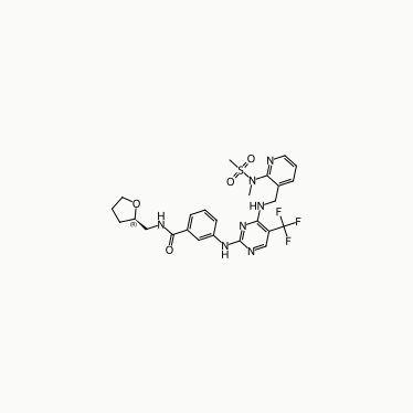 CN(c1ncccc1CNc1nc(Nc2cccc(C(=O)NC[C@H]3CCCO3)c2)ncc1C(F)(F)F)S(C)(=O)=O